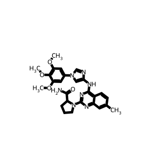 COc1cc(-n2cnc(Nc3nc(N4CCCC4C(N)=O)nc4cc(C)ccc34)c2)cc(OC)c1OC